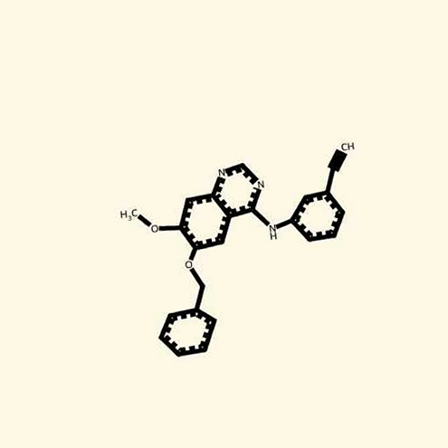 C#Cc1cccc(Nc2ncnc3cc(OC)c(OCc4ccccc4)cc23)c1